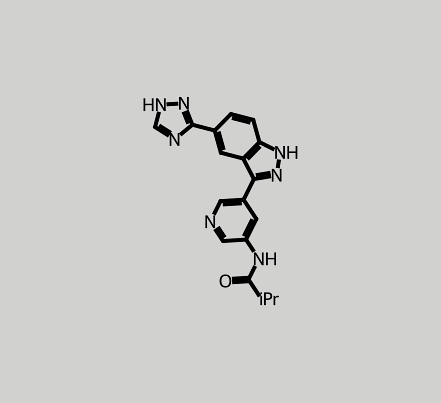 CC(C)C(=O)Nc1cncc(-c2n[nH]c3ccc(-c4nc[nH]n4)cc23)c1